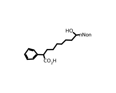 CCCCCCCCCC(O)CCCCCCC(C(=O)O)c1ccccc1